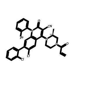 C=CC(=O)N1CCN(c2c(C#N)c(=O)n(-c3ccccc3C(C)C)c3cc(-c4ccccc4Cl)c(Cl)cc23)[C@@H](C)C1